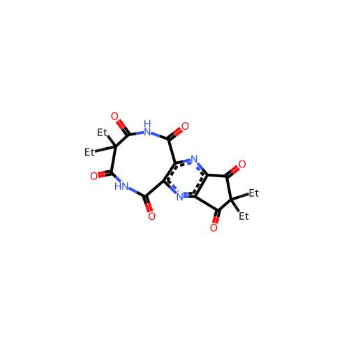 CCC1(CC)C(=O)NC(=O)c2nc3c(nc2C(=O)NC1=O)C(=O)C(CC)(CC)C3=O